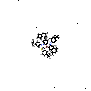 CC(C)(C)c1ccc(N2c3cc4c(cc3B3c5c2cc(-c2cccc6ccccc26)cc5N(c2ccc(C(C)(C)C)cc2)c2sc5ccc(C(C)(C)C)cc5c23)C(C)(C)CCC4(C)C)cc1